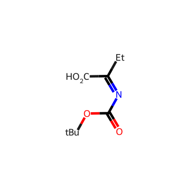 CCC(=NC(=O)OC(C)(C)C)C(=O)O